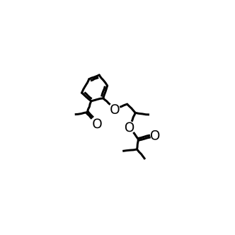 CC(=O)c1ccccc1OCC(C)OC(=O)C(C)C